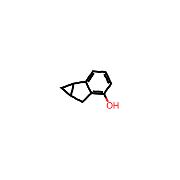 Oc1cccc2c1CC1CC21